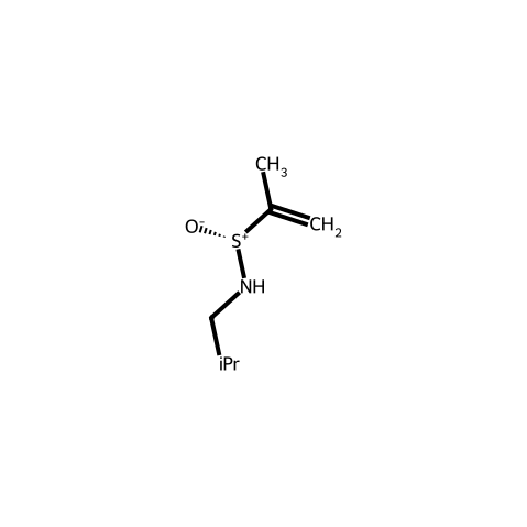 C=C(C)[S@@+]([O-])NCC(C)C